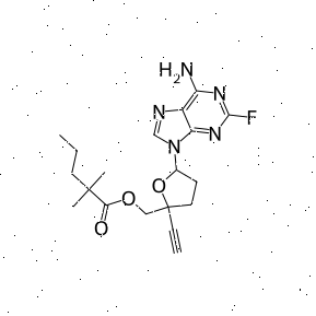 C#CC1(COC(=O)C(C)(C)CCC)CCC(n2cnc3c(N)nc(F)nc32)O1